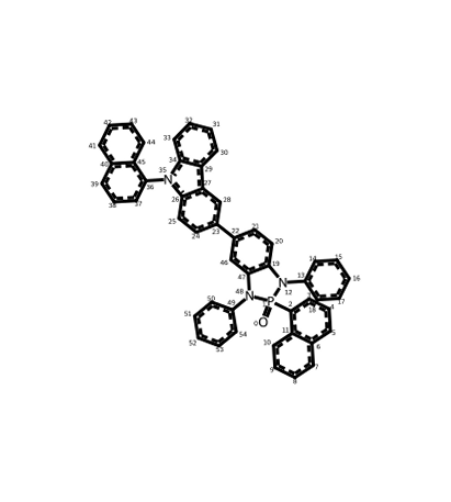 O=P1(c2cccc3ccccc23)N(c2ccccc2)c2ccc(-c3ccc4c(c3)c3ccccc3n4-c3cccc4ccccc34)cc2N1c1ccccc1